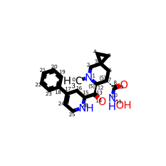 CN1CC2(CC2)C[C@H](C(=O)NO)[C@H]1C(=O)C1CC(c2ccccc2)=CCN1